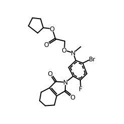 CN(OCC(=O)OC1CCCC1)c1cc(N2C(=O)C3=C(CCCC3)C2=O)c(F)cc1Br